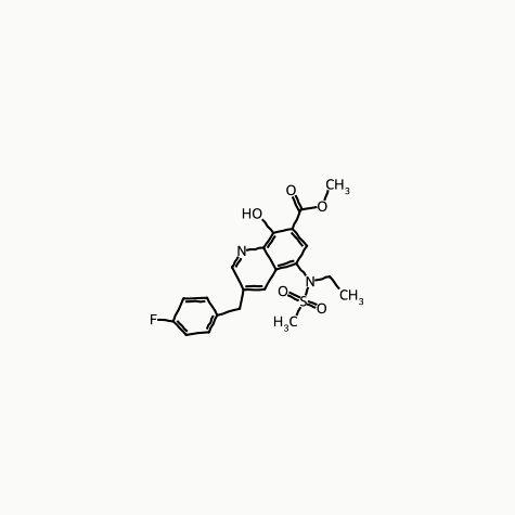 CCN(c1cc(C(=O)OC)c(O)c2ncc(Cc3ccc(F)cc3)cc12)S(C)(=O)=O